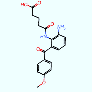 COc1ccc(C(=O)c2cccc(N)c2NC(=O)CCCC(=O)O)cc1